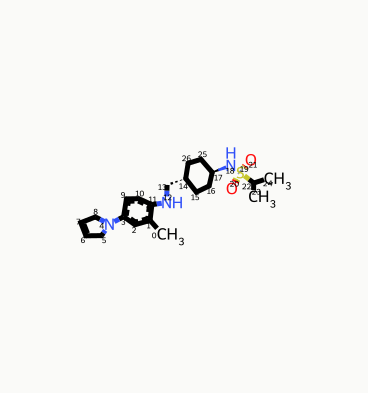 Cc1cc(N2CC=CC2)ccc1NC[C@H]1CC[C@H](NS(=O)(=O)C(C)C)CC1